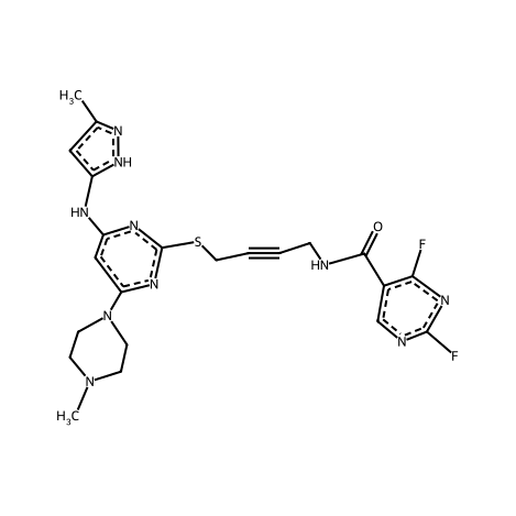 Cc1cc(Nc2cc(N3CCN(C)CC3)nc(SCC#CCNC(=O)c3cnc(F)nc3F)n2)[nH]n1